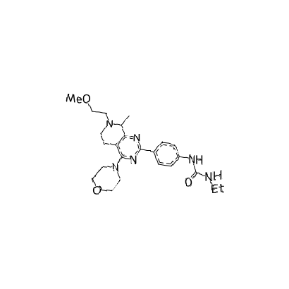 CCNC(=O)Nc1ccc(-c2nc3c(c(N4CCOCC4)n2)CCN(CCOC)C3C)cc1